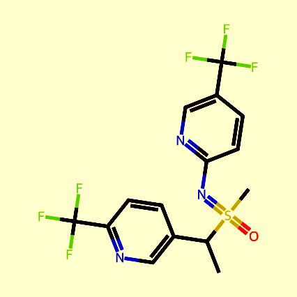 CC(c1ccc(C(F)(F)F)nc1)S(C)(=O)=Nc1ccc(C(F)(F)F)cn1